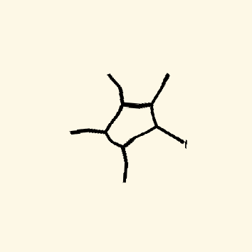 CC1C(C)C(C)C(I)C1C